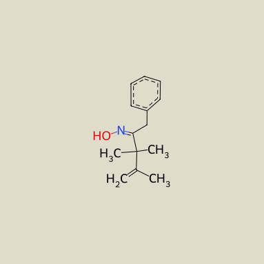 C=C(C)C(C)(C)C(Cc1ccccc1)=NO